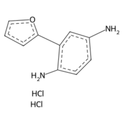 Cl.Cl.Nc1ccc(N)c(-c2ccco2)c1